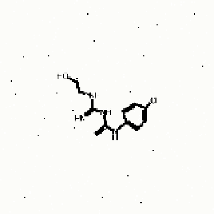 C=C(NC(=N)NCCO)Nc1ccc(Cl)cc1